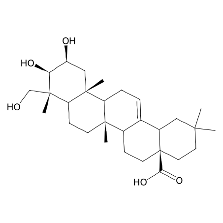 CC1(C)CC[C@]2(C(=O)O)CCC3C(=CCC4[C@@]3(C)CCC3[C@]4(C)C[C@H](O)[C@H](O)[C@@]3(C)CO)C2C1